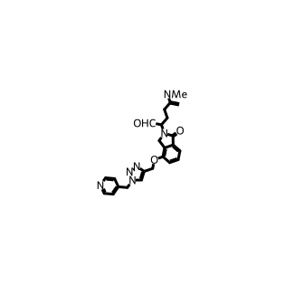 C=C(CCC(C=O)N1Cc2c(OCc3cn(Cc4ccncc4)nn3)cccc2C1=O)NC